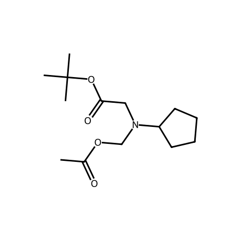 CC(=O)OCN(CC(=O)OC(C)(C)C)C1CCCC1